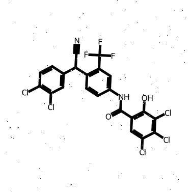 N#CC(c1ccc(Cl)c(Cl)c1)c1ccc(NC(=O)c2cc(Cl)c(Cl)c(Cl)c2O)cc1C(F)(F)F